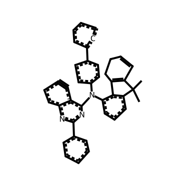 CC1(C)C2=C(CCC=C2)c2c(N(c3ccc(-c4ccccc4)cc3)c3nc(-c4ccccc4)nc4ccc#cc34)cccc21